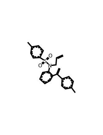 C=CCN(c1ccccc1C(=C)c1ccc(C)cc1)S(=O)(=O)c1ccc(C)cc1